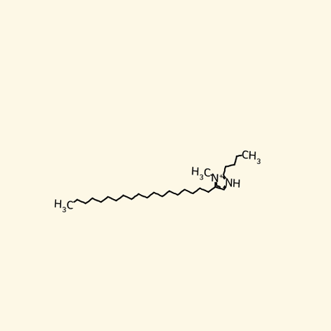 CCCCCCCCCCCCCCCCCCCc1c[nH]c(CCCC)[n+]1C